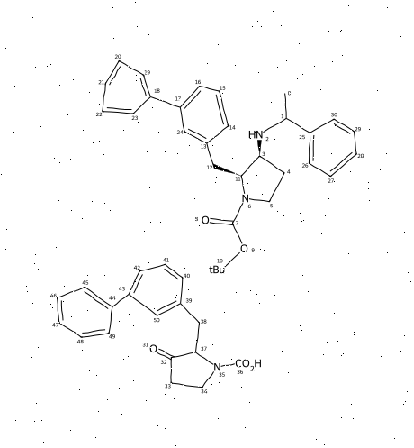 CC(N[C@H]1CCN(C(=O)OC(C)(C)C)[C@H]1Cc1cccc(-c2ccccc2)c1)c1ccccc1.O=C1CCN(C(=O)O)C1Cc1cccc(-c2ccccc2)c1